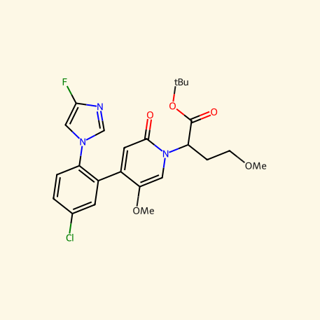 COCCC(C(=O)OC(C)(C)C)n1cc(OC)c(-c2cc(Cl)ccc2-n2cnc(F)c2)cc1=O